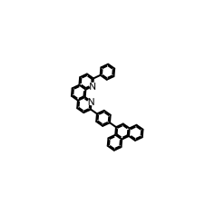 c1ccc(-c2ccc3ccc4ccc(-c5ccc(-c6cc7ccccc7c7ccccc67)cc5)nc4c3n2)cc1